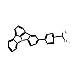 CC(C)c1ccc(-c2ccc3c(c2)c2cccc4c5ccccc5n3c42)cc1